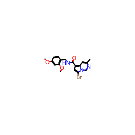 COc1ccc(CNC(=O)c2cc(Br)n3cnc(C)cc23)c(OC)c1